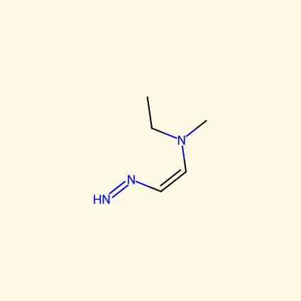 CCN(C)/C=C\N=N